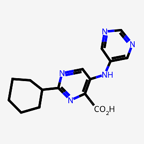 O=C(O)c1nc(C2CCCCC2)ncc1Nc1cncnc1